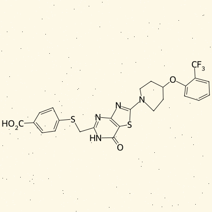 O=C(O)c1ccc(SCc2nc3nc(N4CCC(Oc5ccccc5C(F)(F)F)CC4)sc3c(=O)[nH]2)cc1